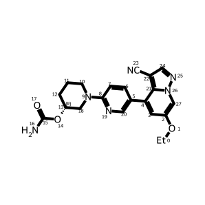 CCOc1cc(-c2ccc(N3CCC[C@@H](OC(N)=O)C3)nc2)c2c(C#N)cnn2c1